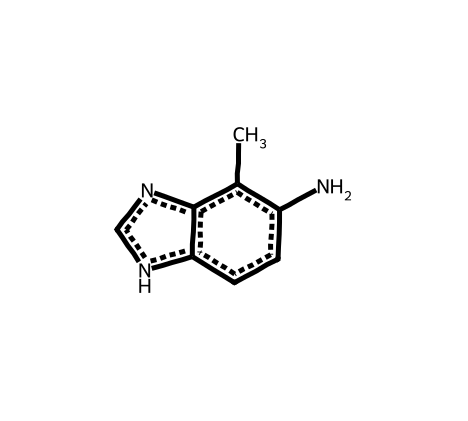 Cc1c(N)ccc2[nH]cnc12